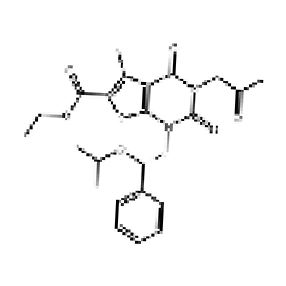 CCOC(=O)c1sc2c(c1C)c(=O)n(CC(C)=O)c(=O)n2C[C@@H](OC(C)C)c1ccccc1